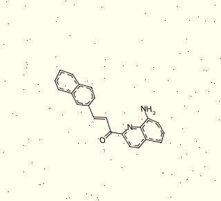 Nc1cccc2ccc(C(=O)C=Cc3ccc4ccccc4c3)nc12